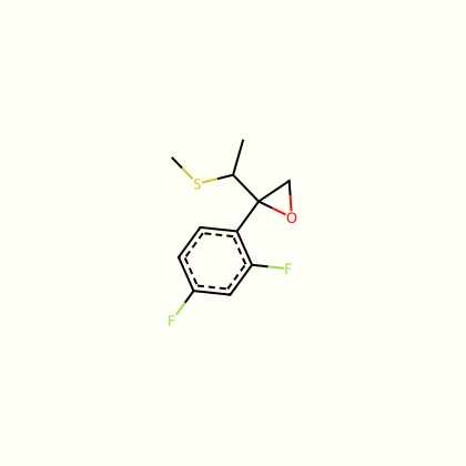 CSC(C)C1(c2ccc(F)cc2F)CO1